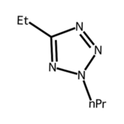 CCCn1nnc(CC)n1